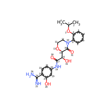 CC(C)Oc1ccccc1N1CCO[C@H]([C@@H](O)C(=O)Nc2ccc(C(=N)N)c(O)c2)C1=O